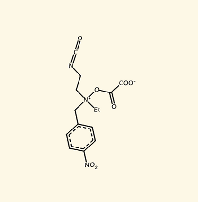 CC[N+](CCN=C=O)(Cc1ccc([N+](=O)[O-])cc1)OC(=O)C(=O)[O-]